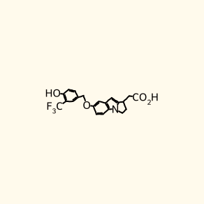 O=C(O)CC1CCn2c1cc1cc(OCc3ccc(O)c(C(F)(F)F)c3)ccc12